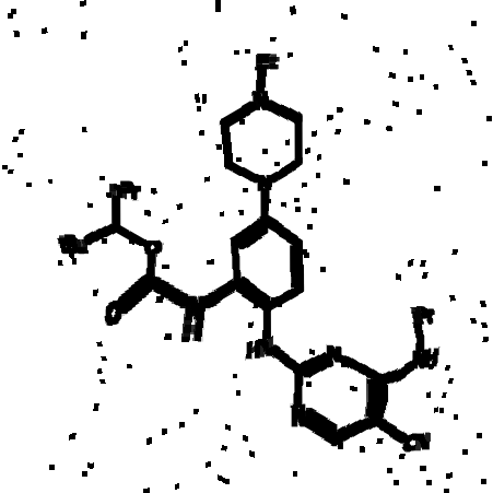 CCCC(OC(=O)Nc1cc(N2CCN(CC)CC2)ccc1Nc1ncc(C#N)c(NC(C)C)n1)C(C)(C)C